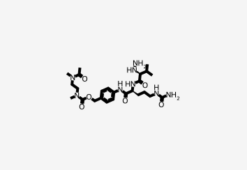 CC(=O)N(C)CCN(C)C(=O)OCc1ccc(NC(=O)[C@H](CCCNC(N)=O)NC(=O)[C@@H](NN)C(C)C)cc1